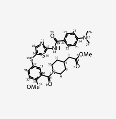 COC(=O)CC1CCN(C(=O)c2cc(Sc3cnc(NC(=O)c4ccc(N(C)C)cc4)s3)ccc2OC)CC1